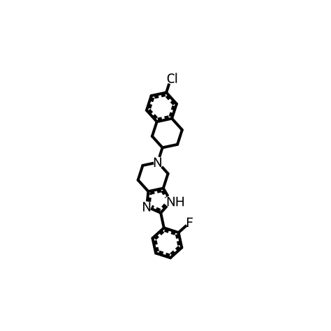 Fc1ccccc1-c1nc2c([nH]1)CN(C1CCc3cc(Cl)ccc3C1)CC2